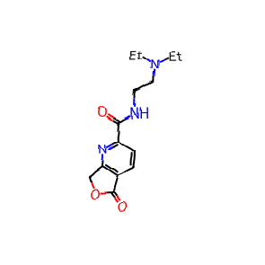 CCN(CC)CCNC(=O)c1ccc2c(n1)COC2=O